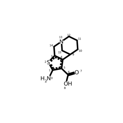 Nc1sc2c(c1C(=O)O)C1CCCN(C2)C1